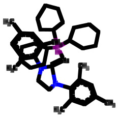 Cc1cc(C)c(N2CCN(c3c(C)cc(C)cc3C)[C]2=[Ru][PH](C2CCCCC2)(C2CCCCC2)C2CCCCC2)c(C)c1